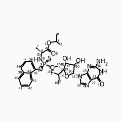 CC(C)OC(=O)[C@H](C)NP(=S)(OC[C@@]1(C(F)F)O[C@@H](n2cnc3c(=O)[nH]c(N)nc32)[C@H](O)[C@H]1O)Oc1cccc2ccccc12